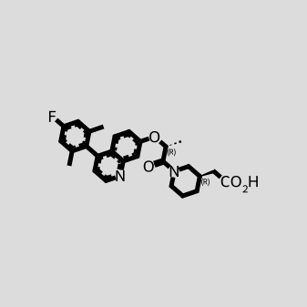 Cc1cc(F)cc(C)c1-c1ccnc2cc(O[C@H](C)C(=O)N3CCC[C@H](CC(=O)O)C3)ccc12